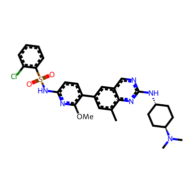 COc1nc(NS(=O)(=O)c2ccccc2Cl)ccc1-c1cc(C)c2nc(N[C@H]3CC[C@H](N(C)C)CC3)ncc2c1